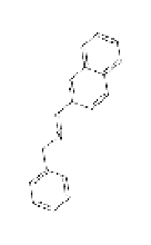 C(=N\Cc1ccccc1)/c1ccc2ccccc2c1